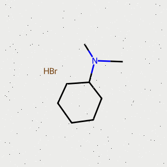 Br.CN(C)C1CCCCC1